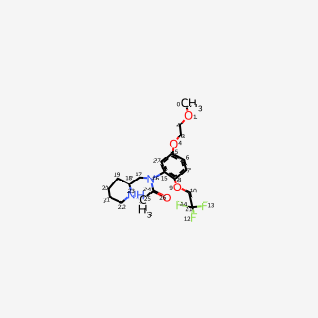 COCCOc1ccc(OCC(F)(F)F)c(N(CC2CCCCN2)C(C)=O)c1